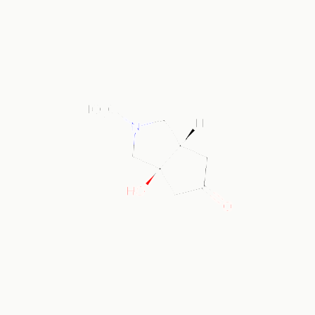 O=C1C[C@H]2CN(C(=O)O)C[C@@]2(O)C1